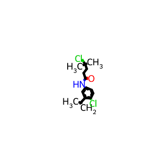 C=C(C)c1cc(NC(=O)CCC(C)(C)Cl)ccc1Cl